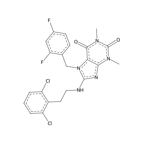 Cn1c(=O)c2c(nc(NCCc3c(Cl)cccc3Cl)n2Cc2ccc(F)cc2F)n(C)c1=O